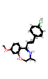 COc1ccc2c(c1)OCC(C)N=C2/C=C/c1ccc(Cl)cc1